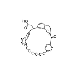 O=C(O)CC1c2ccc3c(c2)CN(CC3)C(=O)c2ccc(cc2)CCCCCCn2nnc3cc1ccc32